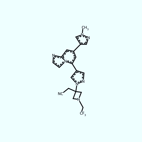 Cn1cc(-c2cc(-c3cnn(C4(CC#N)CN(CC(F)(F)F)C4)c3)n3ccnc3c2)cn1